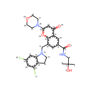 CC(C)(O)CNC(=O)c1cc(CN2CCc3c(F)cc(F)cc32)c2oc(N3CCOCC3)cc(=O)c2c1